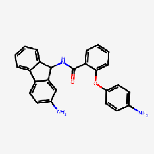 Nc1ccc(Oc2ccccc2C(=O)NC2c3ccccc3-c3ccc(N)cc32)cc1